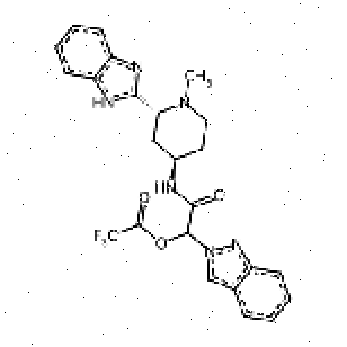 CN1CC[C@@H](NC(=O)C(OC(=O)C(F)(F)F)n2cc3ccccc3n2)C[C@@H]1c1nc2ccccc2[nH]1